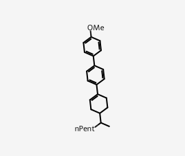 CCCCCC(C)C1CC=C(c2ccc(-c3ccc(OC)cc3)cc2)CC1